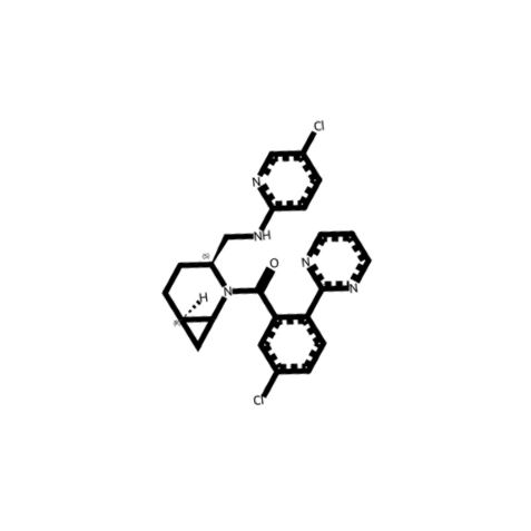 O=C(c1cc(Cl)ccc1-c1ncccn1)N1C2C[C@H]2CC[C@H]1CNc1ccc(Cl)cn1